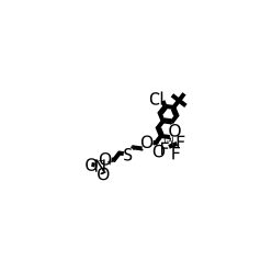 CC(C)(C)c1cc2c(cc1Cl)C=C(C(=O)OCCSCCO[N+](=O)[O-])[C@@H](C(F)(F)F)O2